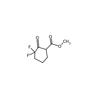 COC(=O)C1CCCC(F)(F)C1=O